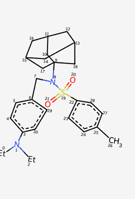 CCN(CC)c1ccc(CN(C23CC4CC(CC(C4)C2)C3)S(=O)(=O)c2ccc(C)cc2)cc1